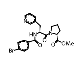 COC(=O)[C@@H]1CCCN1C(=O)[C@H](Cc1cccnc1)NC(=O)c1ccc(Br)cc1